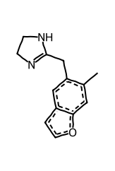 Cc1cc2occc2cc1CC1=NCCN1